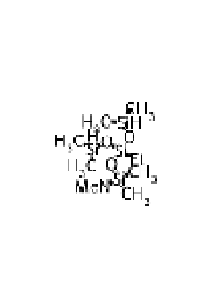 CC[Si](O[SiH](C)C)(O[SiH](C)C)O[Si](C)(C)NC